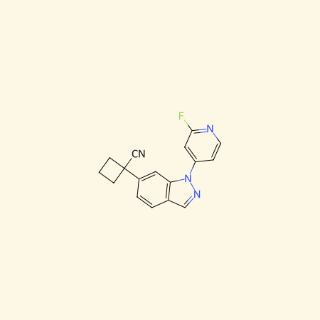 N#CC1(c2ccc3cnn(-c4ccnc(F)c4)c3c2)CCC1